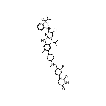 Cc1cc(Nc2ncc(Cl)c(Nc3ccccc3S(=O)(=O)C(C)C)n2)c(OC(C)C)cc1N1CCC(N(C)Cc2ccc(N3CCC(=O)NC3=O)cc2F)CC1